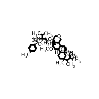 CO[C@@H]1C[C@@]23COC[C@](C)([C@@H]2CC[C@H]2C3=CC[C@@]3(C)[C@H](C(=O)O)[C@@](C)([C@H](C)C(C)C)CC[C@]23C)[C@H]1OC[C@](C)(NS(=O)(=O)c1ccc(C)cc1)C(C)C